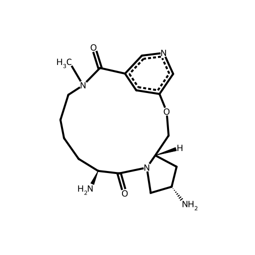 CN1CCCC[C@H](N)C(=O)N2C[C@@H](N)C[C@H]2COc2cncc(c2)C1=O